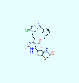 N#Cc1cccc(COC(=O)C2=C(CCc3ccccc3Cl)NC(=O)NC2c2ccc3c(c2)NC(=O)CS3)c1